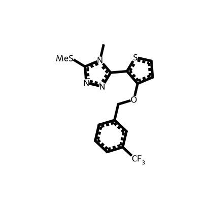 CSc1nnc(-c2sccc2OCc2cccc(C(F)(F)F)c2)n1C